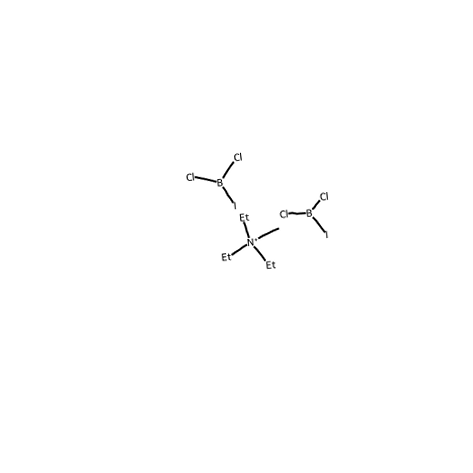 CC[N+](C)(CC)CC.ClB(Cl)I.ClB(Cl)I